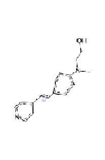 CN(CCO)c1ccc(/C=C/c2ccncc2)cc1